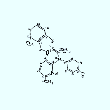 Cc1ccc(OCc2c(F)cccc2Cl)c(N(C(N)=S)c2ccc(Cl)cc2)n1